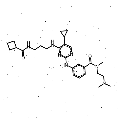 CN(C)CCN(C)C(=O)c1cccc(Nc2ncc(C3CC3)c(NCCCNC(=O)C3CCC3)n2)c1